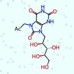 CC(=O)Cn1c(=O)n(C[C@H](O)[C@H](O)[C@H](O)CO)c2[nH]c(=O)[nH]c(=O)c21